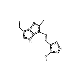 CCc1n[nH]c2c(N=Nc3sncc3OC)c(C)nn12